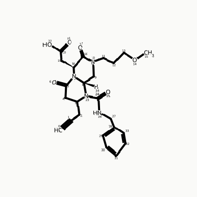 C#CCC1CC(=O)N2[C@H](CN(CCCOC)C(=O)[C@@H]2CC(=O)O)N1C(=O)NCc1ccccc1